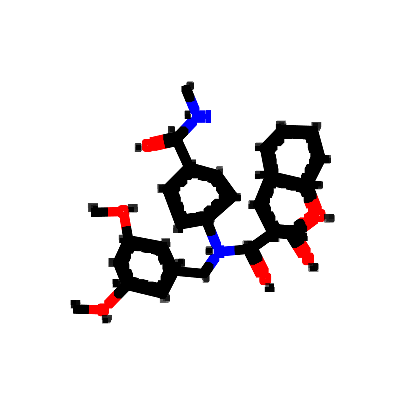 CNC(=O)c1ccc(N(Cc2cc(OC)cc(OC)c2)C(=O)c2cc3ccccc3oc2=O)cc1